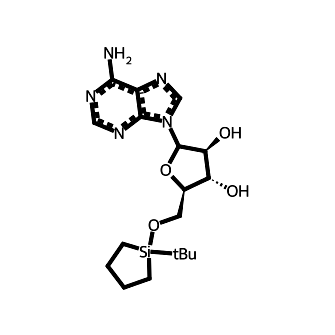 CC(C)(C)[Si]1(OC[C@H]2OC(n3cnc4c(N)ncnc43)[C@@H](O)[C@@H]2O)CCCC1